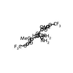 COc1cc(C=CC(=O)CC(c2cc(N)cc(N)c2)C(O)(O)C(=O)C=Cc2ccc(OC(=O)c3ccc(OCCCC(F)(F)F)cc3)c(OC)c2)ccc1OC(=O)c1ccc(OCCCC(F)(F)F)cc1